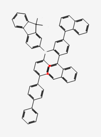 CC1(C)c2ccccc2-c2ccc(N(c3ccc(-c4ccc(-c5ccccc5)cc4)cc3)c3cc(-c4cccc5ccccc45)ccc3-c3cccc4ccccc34)cc21